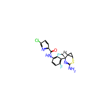 NC1=N[C@](CF)(c2cc(NC(=O)c3ccc(Cl)cn3)ccc2F)[C@@H]2CC2S1